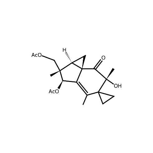 CC(=O)OC[C@@]1(C)[C@H](OC(C)=O)C2=C(C)C3(CC3)[C@@](C)(O)C(=O)[C@]23C[C@@H]31